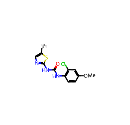 COc1ccc(NC(=O)Nc2ncc(C(C)C)s2)c(Cl)c1